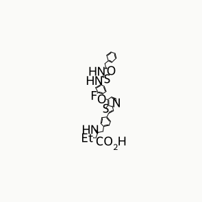 CC[C@@H](C(=N)Cc1ccc(-c2cc3nccc(Oc4ccc(NC(=S)NC(=O)Cc5ccccc5)cc4F)c3s2)cc1)C(=O)O